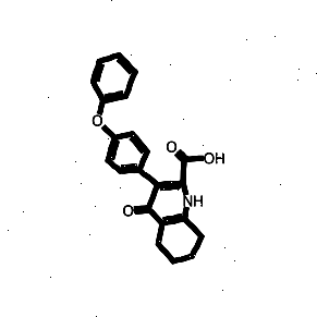 O=C(O)c1[nH]c2c(c(=O)c1-c1ccc(Oc3ccccc3)cc1)CCCC2